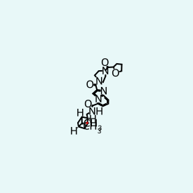 CC1(C)[C@H]2CC[C@@H](CNC(=O)c3cccc4nc(C(=O)N5CCN(C(=O)C6CCCO6)CC5)cn34)[C@@H]1C2